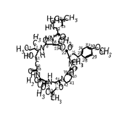 CC[C@H](C)[C@H]1NC(=O)[C@@H](NC(=O)[C@@H](CC(C)C)NC)[C@@H](C)OC(=O)[C@H](CCc2ccc(OC)cc2)N(C)C(=O)[C@@H]2CCCN2C(=O)[C@H](CC(C)C)NC(=O)C(C)(C)NC(=O)C[C@@H]1O